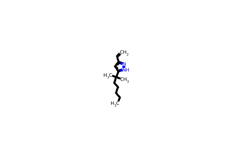 C=Cc1cc(C(C)(C)CCCCC)[nH]n1